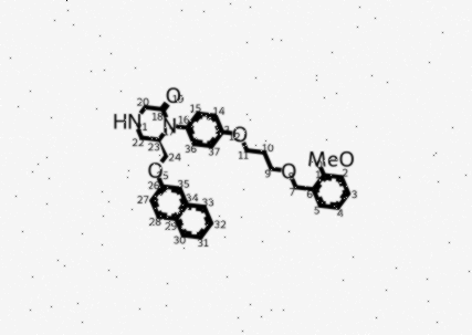 COc1ccccc1COCCCOc1ccc(N2C(=O)CNC[C@@H]2COc2ccc3ccccc3c2)cc1